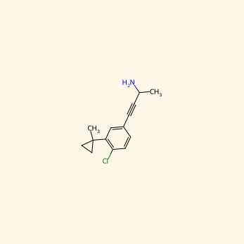 CC(N)C#Cc1ccc(Cl)c(C2(C)CC2)c1